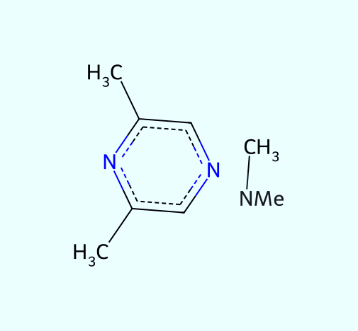 CNC.Cc1cncc(C)n1